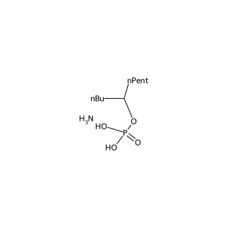 CCCCCC(CCCC)OP(=O)(O)O.N